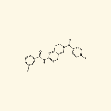 O=C(NC1=NCC2=CN(C(=O)c3ccc(F)cc3)CCC2=N1)c1cccc(F)c1